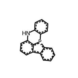 c1ccc2c(c1)Nc1cccc3c4ccccc4p-2c13